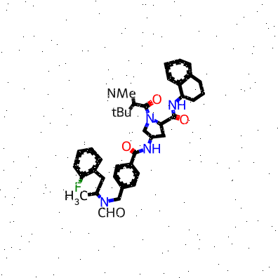 CNC(C(=O)N1CC(NC(=O)c2ccc(CN(C=O)C(C)Cc3ccccc3F)cc2)CC1C(=O)NC1CCCc2ccccc21)C(C)(C)C